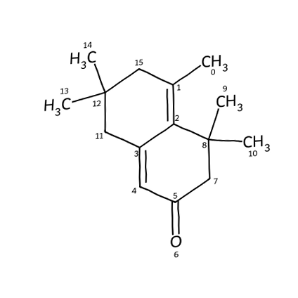 CC1=C2C(=CC(=O)CC2(C)C)CC(C)(C)C1